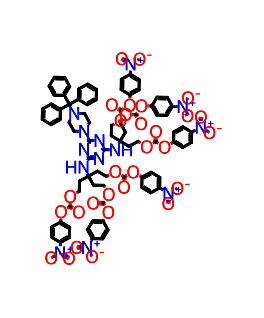 O=C(OCCC(CCOC(=O)Oc1ccc([N+](=O)[O-])cc1)(CCOC(=O)Oc1ccc([N+](=O)[O-])cc1)Nc1nc(NC(CCOC(=O)Oc2ccc([N+](=O)[O-])cc2)(CCOC(=O)Oc2ccc([N+](=O)[O-])cc2)CCOC(=O)Oc2ccc([N+](=O)[O-])cc2)nc(N2CCN(C(c3ccccc3)(c3ccccc3)c3ccccc3)CC2)n1)Oc1ccc([N+](=O)[O-])cc1